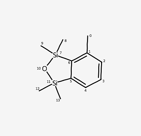 Cc1cccc2c1[Si](C)(C)O[Si]2(C)C